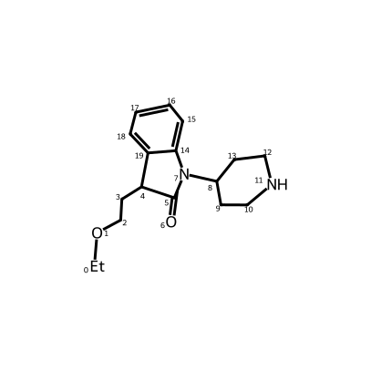 CCOCCC1C(=O)N(C2CCNCC2)c2ccccc21